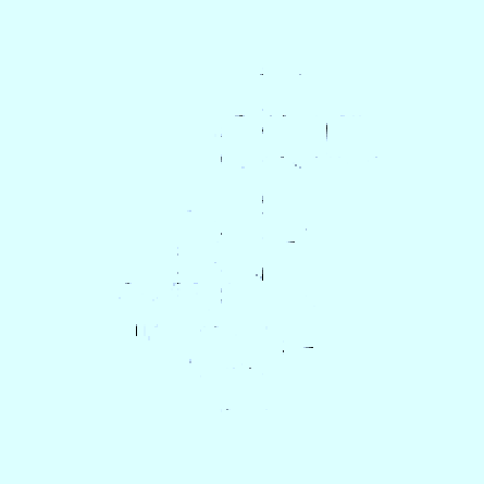 C=C/C=C\c1c(C)cc2cccc3c2c1-c1c-3cccc1N(c1ccc2c(c1)c1ccccc1n2-c1ccccc1-c1ccccc1)c1cccc2ccccc12